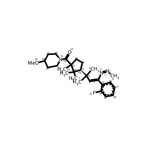 C/N=N\C(=C/C(C)(C)[C@@H]1CCC(C)(C(=O)N2CCC(OC)CC2)C1(C)C)c1ccccc1F